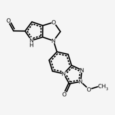 COn1nc2cc(N3COc4cc(C=O)[nH]c43)ccn2c1=O